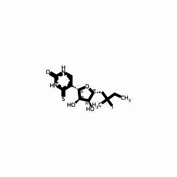 CCC(C)(I)C[C@H]1O[C@@H](c2c[nH]c(=O)[nH]c2=S)[C@H](O)[C@@H]1O